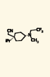 CC(C)[C@]1(CC#N)CC[C@H](N(C)CC(F)(F)F)CC1